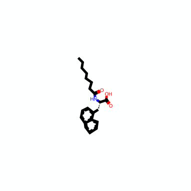 CCCCCCCC(=O)N[C@@H](Cc1cccc2ccccc12)C(=O)O